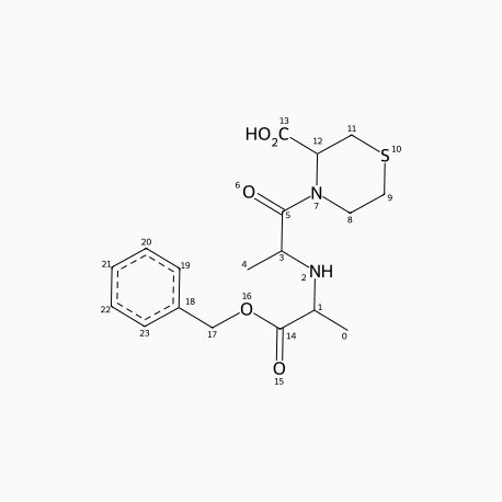 CC(NC(C)C(=O)N1CCSCC1C(=O)O)C(=O)OCc1ccccc1